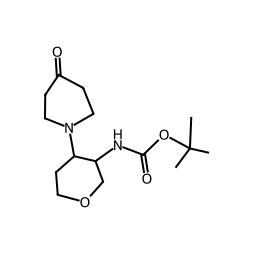 CC(C)(C)OC(=O)NC1COCCC1N1CCC(=O)CC1